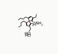 CCCCC1=CC(CC)=[C]([Zr]([CH3])([CH3])(=[SiH2])[C]2=C(CC)C=C(CCCC)C2)C1.Cl.Cl